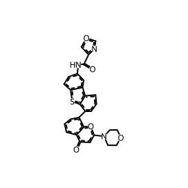 O=C(Nc1ccc2sc3c(-c4cccc5c(=O)cc(N6CCOCC6)oc45)cccc3c2c1)c1cocn1